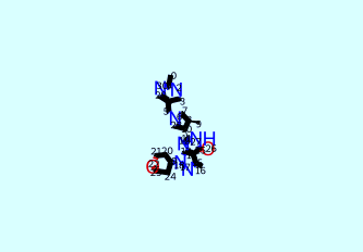 Cc1ncc(CN2C[C@@H](C)[C@H](c3nc4c(c(C)nn4C4CCOCC4)c(=O)[nH]3)C2)cn1